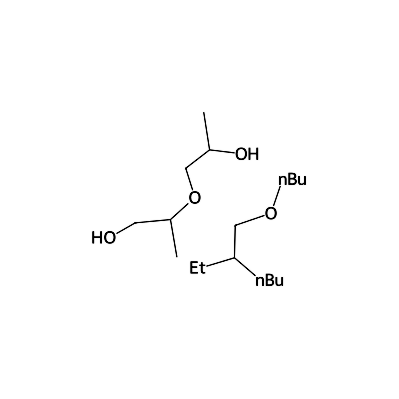 CC(O)COC(C)CO.CCCCOCC(CC)CCCC